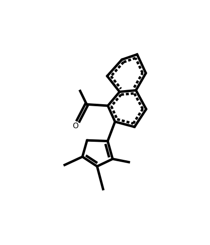 CC(=O)c1c(C2=C(C)C(C)=C(C)C2)ccc2ccccc12